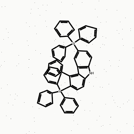 c1ccc(-c2c([Si](c3ccccc3)(c3ccccc3)c3ccccc3)ccc3[nH]c4ccc([Si](c5ccccc5)(c5ccccc5)c5ccccc5)cc4c23)cc1